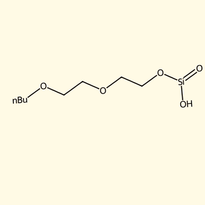 CCCCOCCOCCO[Si](=O)O